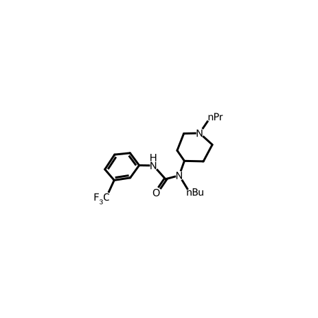 CCCCN(C(=O)Nc1cccc(C(F)(F)F)c1)C1CCN(CCC)CC1